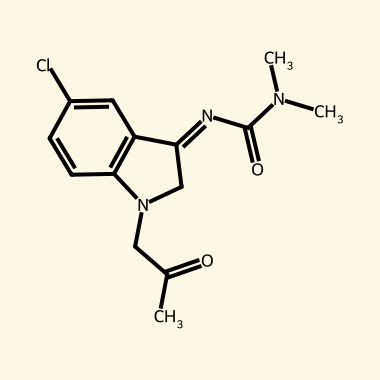 CC(=O)CN1CC(=NC(=O)N(C)C)c2cc(Cl)ccc21